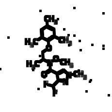 CON(C(=O)c1cn(C)nc1C(F)F)C(C)COc1c(C)cc(C)cc1C